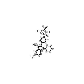 CC1(NS(=O)(=O)c2ccc(-c3c(C#N)c4cc(C(F)(F)F)cnc4n3C3CCCCC3)cc2)CC1